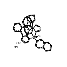 Cl.Cl.[CH2]=[Zr]([C]1=CC=CC1)([c]1ccc2ccccc2c1)([c]1ccc2ccccc2c1)[c]1cccc2c1c1c(c3ccccc32)-c2ccccc2C1